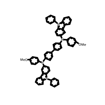 COc1ccc(N(c2ccc(-c3ccc(N(c4ccc(OC)cc4)c4ccc5c(c4)c4ccccc4n5-c4ccccc4)cc3)cc2)c2ccc3c(c2)c2ccccc2n3-c2ccccc2)cc1